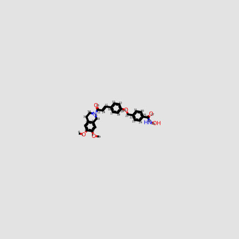 COc1cc2c(cc1OC)CN(C(=O)C=Cc1ccc(OCc3ccc(C(=O)NO)cc3)cc1)CC2